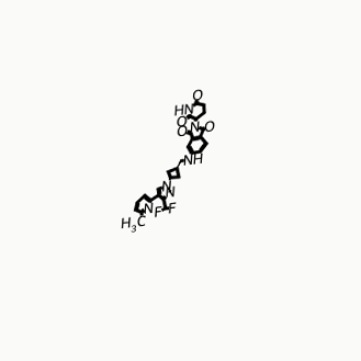 Cc1cccc(-c2cn([C@H]3C[C@H](CNc4ccc5c(c4)C(=O)N(C4CCC(=O)NC4=O)C5=O)C3)nc2C(F)F)n1